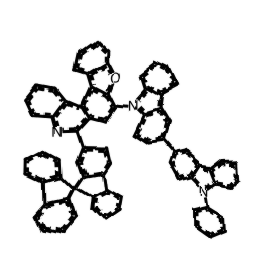 c1ccc(-n2c3ccccc3c3cc(-c4ccc5c(c4)c4ccccc4n5-c4cc5c(-c6ccc7c(c6)C6(c8ccccc8-c8ccccc86)c6ccccc6-7)nc6ccccc6c5c5c4oc4ccccc45)ccc32)cc1